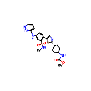 CCNS(=O)(=O)c1cc(Nc2cccnn2)ccc1-c1cnc([C@H]2CC[C@H](NC(=O)OC(C)C)CC2)s1